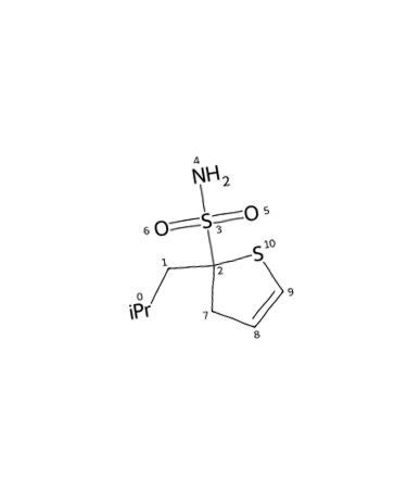 CC(C)CC1(S(N)(=O)=O)CC=CS1